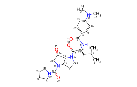 CC(C)C[C@H](NC(=O)c1ccc(N(C)C)cc1)C(=O)N1CCC2C1C(=O)CN2C(=O)N1CCCC1